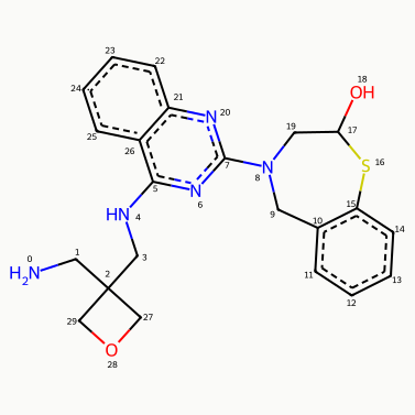 NCC1(CNc2nc(N3Cc4ccccc4SC(O)C3)nc3cc[c]cc23)COC1